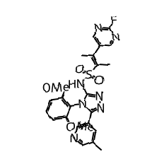 COc1cccc(OC)c1-n1c(NS(=O)(=O)/C(C)=C(\C)c2cnc(F)nc2)nnc1-c1cncc(C)c1